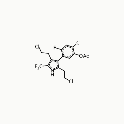 CC(=O)Oc1cc(-c2c(CCCl)[nH]c(C(F)(F)F)c2CCCl)c(F)cc1Cl